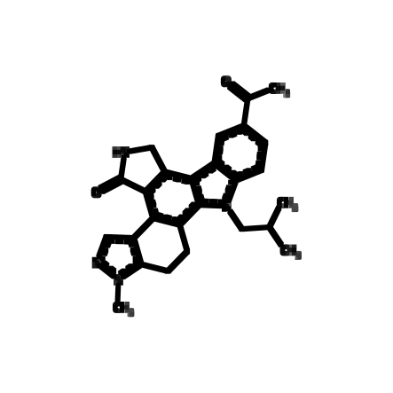 CC(=O)c1ccc2c(c1)c1c3c(c4c(c1n2CC(C)C)CCc1c-4cnn1C)C(=O)NC3